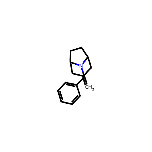 C=C1CC2CCC(C1)N2Cc1ccccc1